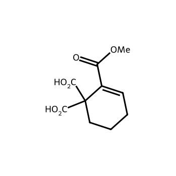 COC(=O)C1=CCCCC1(C(=O)O)C(=O)O